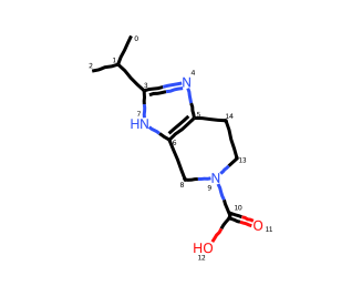 CC(C)c1nc2c([nH]1)CN(C(=O)O)CC2